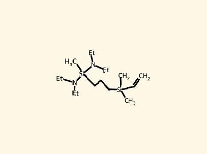 C=C[Si](C)(C)CCC[Si](C)(N(CC)CC)N(CC)CC